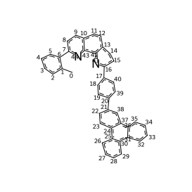 Cc1ccccc1-c1ccc2ccc3ccc(-c4ccc(-c5ccc6c7ccccc7c7ccccc7c6c5)cc4)nc3c2n1